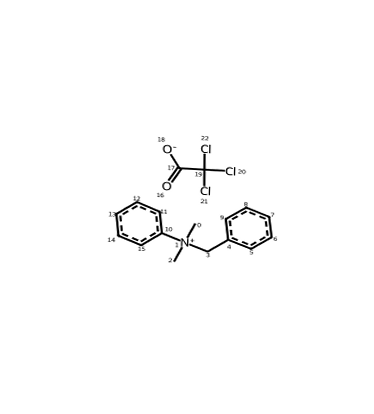 C[N+](C)(Cc1ccccc1)c1ccccc1.O=C([O-])C(Cl)(Cl)Cl